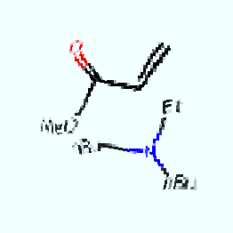 C=CC(=O)OC.CCCCN(CC)CCCC